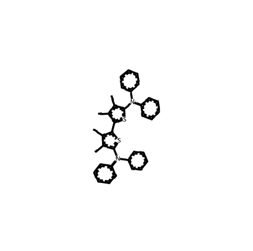 Cc1c(-c2sc(N(c3ccccc3)c3ccccc3)c(C)c2C)sc(N(c2ccccc2)c2ccccc2)c1C